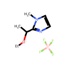 CCOC(C)c1nccn1C.F[B-](F)(F)F